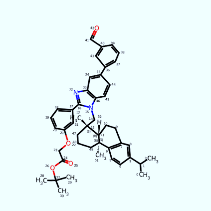 CC(C)c1ccc2c(c1)CC[C@H]1[C@@](C)(Cn3c(-c4cccc(OCC(=O)OC(C)(C)C)c4)nc4cc(-c5cccc(C=O)c5)ccc43)CCC[C@]21C